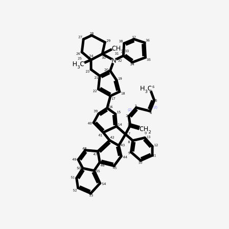 C=C(/C=C\C=C/C)C1(c2ccccc2)c2cc(-c3ccc4c(c3)CC3(C)CCCCC3(C)N4c3ccccc3)ccc2-c2c1ccc1c2ccc2ccccc21